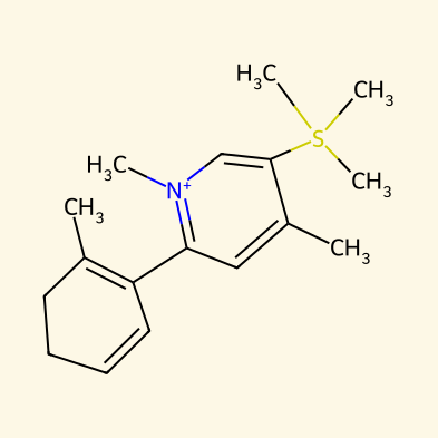 CC1=C(c2cc(C)c(S(C)(C)C)c[n+]2C)C=CCC1